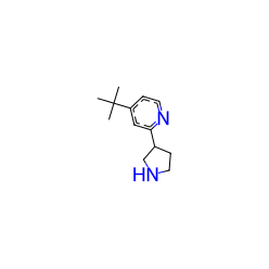 CC(C)(C)c1ccnc(C2CCNC2)c1